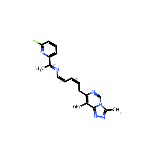 CCCc1c(C\C=C/C=C\N=C(/C)c2cccc(F)n2)ncn2c(C)nnc12